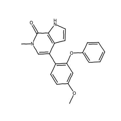 COc1ccc(-c2cn(C)c(=O)c3[nH]ccc23)c(Oc2ccccc2)c1